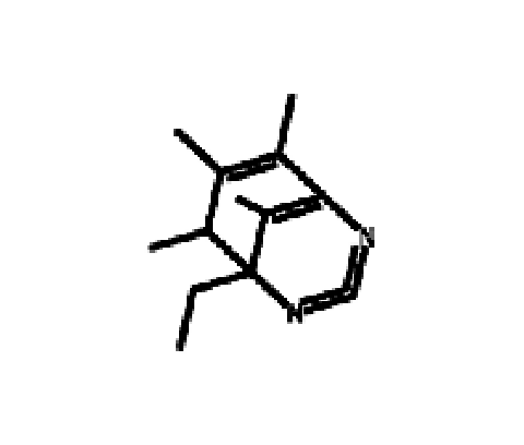 CCC12N=C=NC(=C1C)C(C)=C(C)C2C